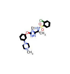 CCn1c(Oc2cccc(N3CCN(C)CC3)c2)nnc1[C@@H](C)NS(=O)(=O)c1ccccc1Cl